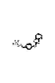 CS(=O)(=O)OCCc1ccc(Oc2nc3ncccc3s2)cc1